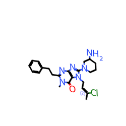 C/C(Cl)=C/Cn1c(N2CCCC(N)C2)nc2nc(CCc3ccccc3)n(C)c(=O)c21